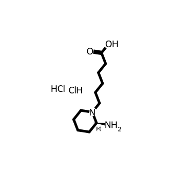 Cl.Cl.N[C@H]1CCCCN1CCCCCC(=O)O